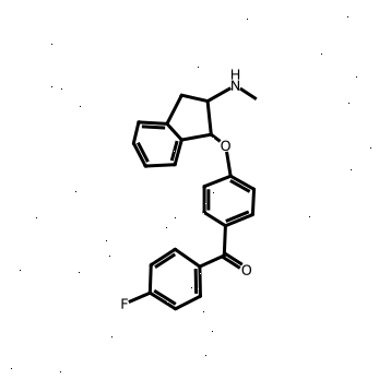 CNC1Cc2ccccc2C1Oc1ccc(C(=O)c2ccc(F)cc2)cc1